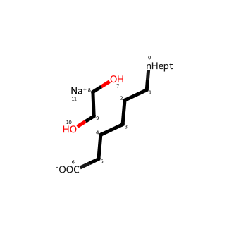 CCCCCCCCCCCCC(=O)[O-].OCCO.[Na+]